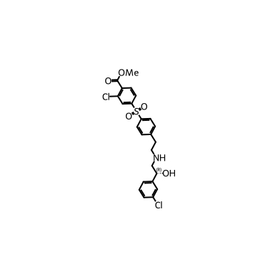 COC(=O)c1ccc(S(=O)(=O)c2ccc(CCNC[C@H](O)c3cccc(Cl)c3)cc2)cc1Cl